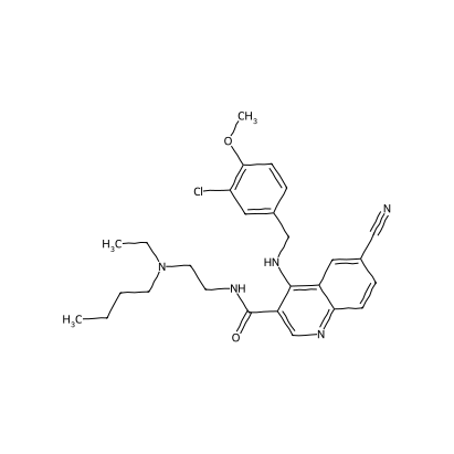 CCCCN(CC)CCNC(=O)c1cnc2ccc(C#N)cc2c1NCc1ccc(OC)c(Cl)c1